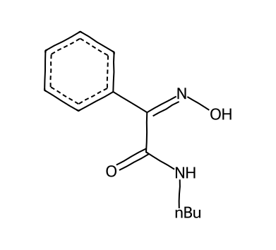 CCCCNC(=O)C(=NO)c1ccccc1